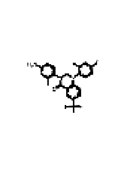 Cc1cc(F)ccc1N1CN(c2ccc(N)nc2C)C(=O)c2cc(C(F)(F)F)ccc21